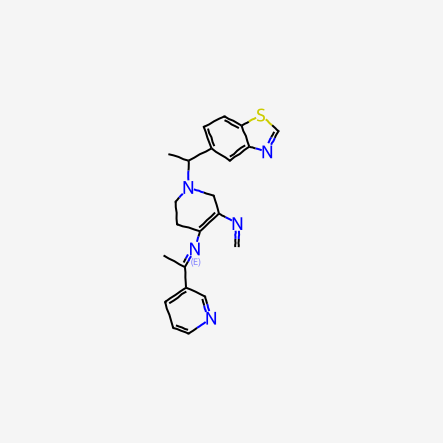 C=NC1=C(/N=C(\C)c2cccnc2)CCN(C(C)c2ccc3scnc3c2)C1